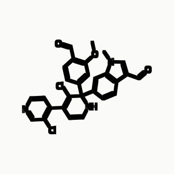 COc1cc(C2(c3ccc4c(C=O)cn(C)c4c3)NC=CC(c3ccncc3Cl)=C2Cl)ccc1C=O